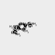 COP1(=O)OCC2O[C@@H](n3c(C(C)C)nc4c(=O)[nH]c(N)nc43)[C@H](O)[C@@H]2OP(=O)(O)OC[C@H]2O[C@@H](n3cnc4c(N)ncnc43)C[C@@H]2O1